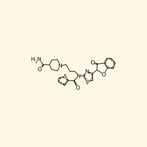 NC(=O)C1CCN(CCCN(C(=O)c2cccs2)c2nc(C3Oc4ccccc4C3=O)cs2)CC1